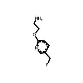 NCCOc1ccc(CF)cn1